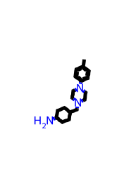 Cc1ccc(N2CCN(CC3CCC(N)CC3)CC2)cc1